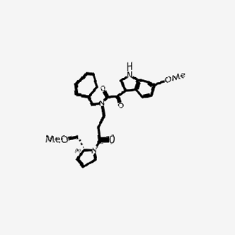 COC[C@H]1CCCN1C(=O)CCN(CC1CCCCC1)C(=O)C(=O)C1CNc2cc(OC)ccc21